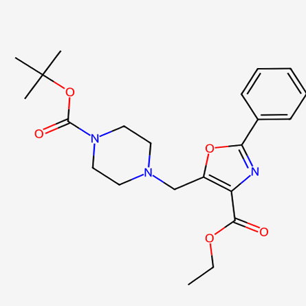 CCOC(=O)c1nc(-c2ccccc2)oc1CN1CCN(C(=O)OC(C)(C)C)CC1